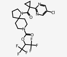 O=C(OC(C(F)(F)F)C(F)(F)F)N1CCC2(CCCN2C(=O)C2(c3ncc(Cl)cn3)CC2)CC1